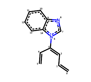 C=C/C=C(\C=C)n1cnc2ccccc21